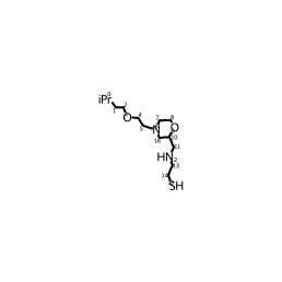 CC(C)CCOCCN1CCOC(CNCCS)C1